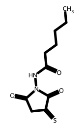 CCCCCC(=O)NN1C(=O)CC(=S)C1=O